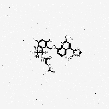 [2H]C([2H])([2H])[C@]([2H])(NC(=O)COC(F)F)c1cc(F)cc(Cl)c1COc1cccc2c(-c3ncnn3C)cc(C)nc12